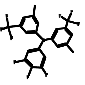 Cc1cc(B(c2cc(C)cc(C(F)(F)F)c2)c2cc(F)c(F)c(F)c2)cc(C(F)(F)F)c1